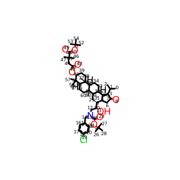 CC(C)C1=C2C(CC1=O)[C@@H]([C@@H](O)CN(Cc1ccc(Cl)cc1)C(=O)OC(C)(C)C)C[C@]1(C)[C@@H]2CC[C@@H]2[C@@]3(C)CC[C@H](OC(=O)CC(C)(C)C(=O)OC(C)(C)C)C(C)(C)[C@@H]3CC[C@]21C